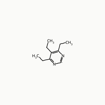 CCc1n[c]nc(CC)c1CC